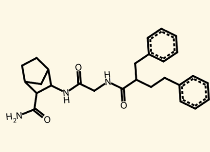 NC(=O)C1C2CCC(C2)C1NC(=O)CNC(=O)C(CCc1ccccc1)Cc1ccccc1